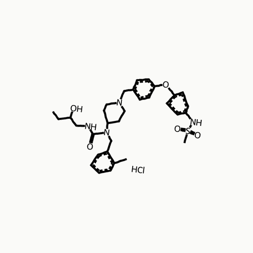 CCC(O)CNC(=O)N(Cc1ccccc1C)C1CCN(Cc2ccc(Oc3ccc(NS(C)(=O)=O)cc3)cc2)CC1.Cl